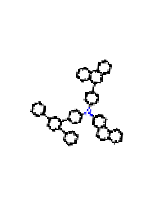 c1ccc(-c2ccc(-c3ccccc3)c(-c3ccc(N(c4ccc(-c5cc6ccccc6c6ccccc56)cc4)c4ccc5c(ccc6ccccc65)c4)cc3)c2)cc1